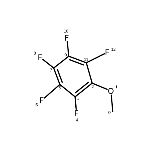 COc1c(F)c(F)c(F)c(F)c1F